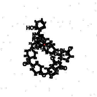 Nc1nnc(-c2ccccc2O)cc1N1CC2CCC(C1)N2c1cccc(CN2CCC(C(=O)N3CCC(Oc4ccc5c(c4)C(=O)N(C4CCC(=O)NC4=O)C5=O)CC3)CC2)c1